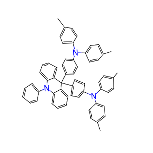 Cc1ccc(N(c2ccc(C)cc2)c2ccc(C3(c4ccc(N(c5ccc(C)cc5)c5ccc(C)cc5)cc4)c4ccccc4N(c4ccccc4)c4ccccc43)cc2)cc1